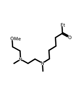 CCC(=O)CCCCN(C)CCN(C)CCOC